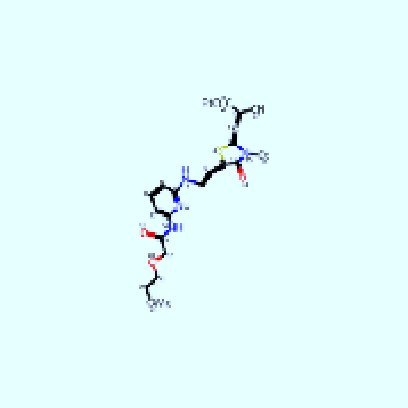 CCOC(=O)C(=C=c1sc(=C=CNc2cccc(NC(=O)COCCOC)n2)c(=O)n1CC)C#N